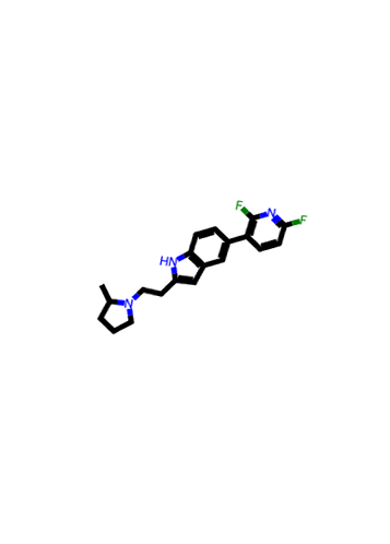 CC1CCCN1CCc1cc2cc(-c3ccc(F)nc3F)ccc2[nH]1